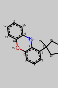 CC1(c2cccc3c2[N]c2ccccc2O3)CCCC1